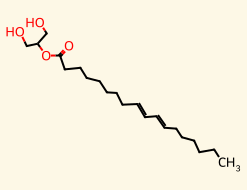 CCCCCC/C=C/C=C/CCCCCCCC(=O)OC(CO)CO